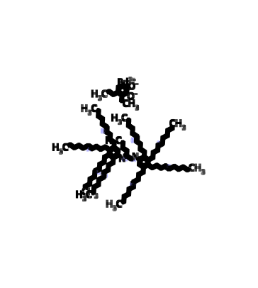 CCCCC/C=C/CCCc1cc(/N=C/C(CCCC)=N/c2cc(CCC/C=C/CCCCC)c(CCC/C=C/CCCCC)c(CCC/C=C/CCCCC)c2CCC/C=C/CCCCC)c(CCC/C=C/CCCCC)c(CCC/C=C/CCCCC)c1CCC/C=C/CCCCC.CCCc1ccc([O-])c([O-])c1CC.[Pd+2]